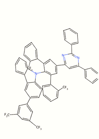 FC(F)(F)c1cc(-c2ccc3c(c2)c2ccccc2n3-c2c(-c3ccccc3C(F)(F)F)cc(-c3cc(-c4ccccc4)nc(-c4ccccc4)n3)cc2-c2ccccc2C(F)(F)F)cc(C(F)(F)F)c1